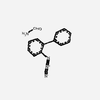 NC=O.[N-]=[N+]=Nc1ccccc1-c1ccccc1